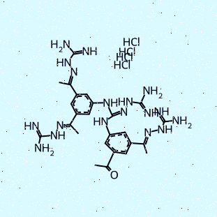 CC(=O)c1cc(NC(=NNC(=N)N)Nc2cc(C(C)=NNC(=N)N)cc(C(C)=NNC(=N)N)c2)cc(C(C)=NNC(=N)N)c1.Cl.Cl.Cl.Cl